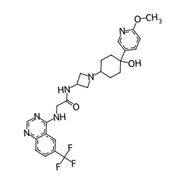 COc1ccc(C2(O)CCC(N3CC(NC(=O)CNc4ncnc5ccc(C(F)(F)F)cc45)C3)CC2)cn1